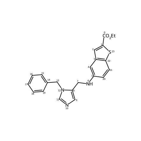 CCOC(=O)c1cc2cc(NCc3cncn3Cc3ccccc3)ccc2s1